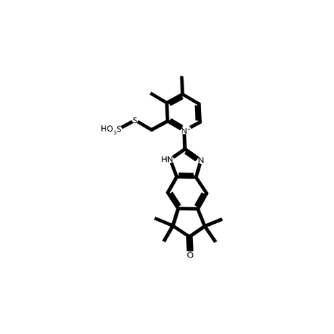 Cc1cc[n+](-c2nc3cc4c(cc3[nH]2)C(C)(C)C(=O)C4(C)C)c(CSS(=O)(=O)O)c1C